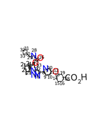 [2H]C([2H])([2H])n1nnc(-c2ccc(O[C@H]3CCC[C@H](C(=O)O)C3)cn2)c1COC(=O)N(C)CC1CCC1